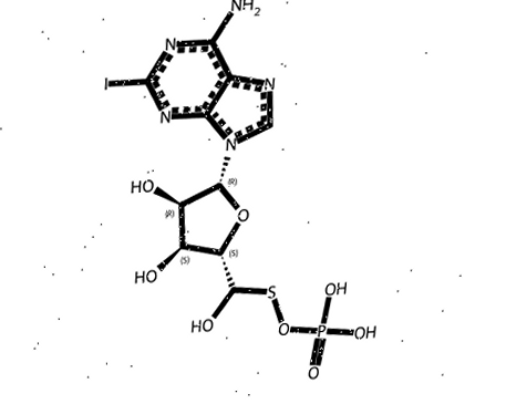 Nc1nc(I)nc2c1ncn2[C@@H]1O[C@H](C(O)SOP(=O)(O)O)[C@@H](O)[C@H]1O